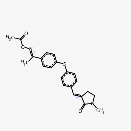 CC(=O)O/N=C(\C)c1ccc(Sc2ccc(/C=C3\CCN(C)C3=O)cc2)cc1